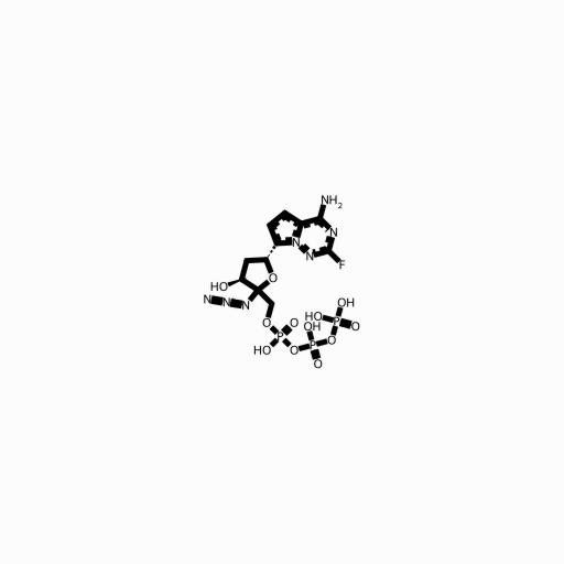 [N-]=[N+]=NC1(COP(=O)(O)OP(=O)(O)OP(=O)(O)O)O[C@@H](c2ccc3c(N)nc(F)nn23)C[C@@H]1O